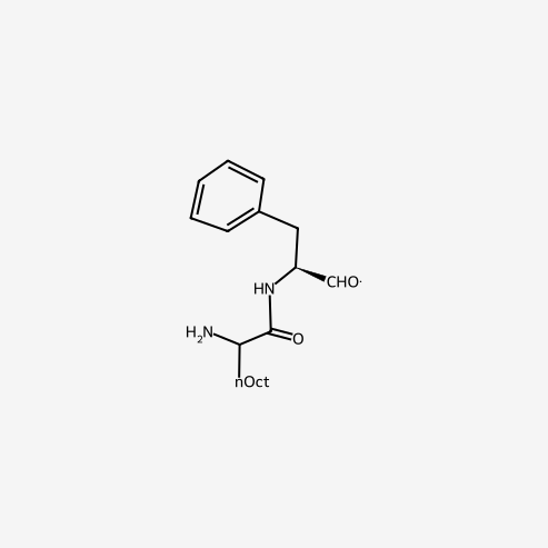 CCCCCCCCC(N)C(=O)N[C@H]([C]=O)Cc1ccccc1